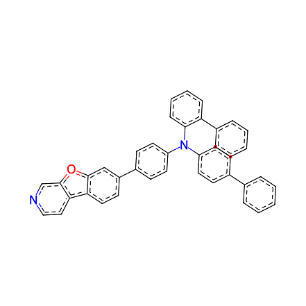 c1ccc(-c2ccc(N(c3ccc(-c4ccc5c(c4)oc4cnccc45)cc3)c3ccccc3-c3ccccc3)cc2)cc1